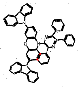 c1ccc(-c2nc(-c3ccccc3)c(N3c4ccc(-n5c6ccccc6c6ccccc65)cc4Oc4cc(-n5c6ccccc6c6ccccc65)ccc43)nc2-c2ccccc2)cc1